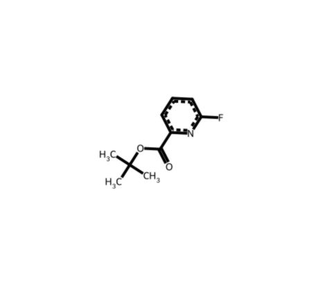 CC(C)(C)OC(=O)c1cccc(F)n1